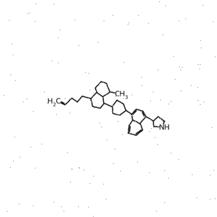 C=CCCCC1CCC(C2CCC(C3=CC=C(C4CCNC4)C4C=CC=CC34)CC2)C2C(C)CCCC12